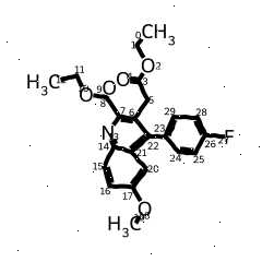 CCOC(=O)Cc1c(C(=O)OCC)nc2ccc(OC)cc2c1-c1ccc(F)cc1